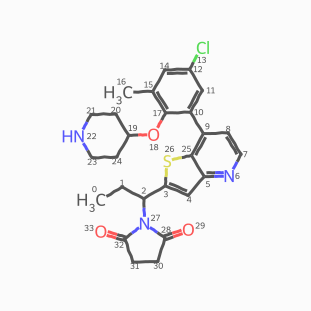 CCC(c1cc2nccc(-c3cc(Cl)cc(C)c3OC3CCNCC3)c2s1)N1C(=O)CCC1=O